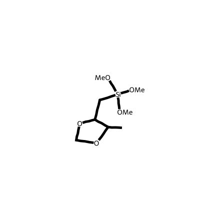 CO[Si](CC1OCOC1C)(OC)OC